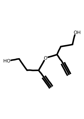 C#CC(CCO)OC(C#C)CCO